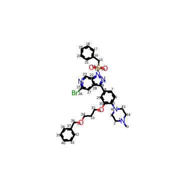 CN1CCN(c2ccc(-c3nn(S(=O)(=O)Cc4ccccc4)c4cnc(Br)cc34)cc2OCCCOCc2ccccc2)CC1